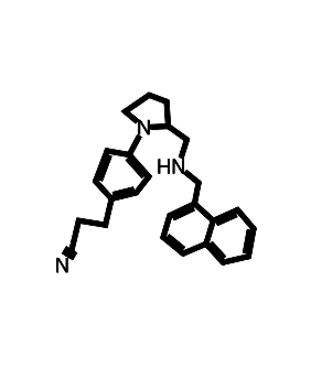 N#CCCc1ccc(N2CCCC2CNCc2cccc3ccccc23)cc1